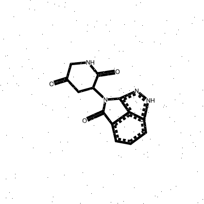 O=C1CNC(=O)C(N2C(=O)c3cccc4[nH]nc2c34)C1